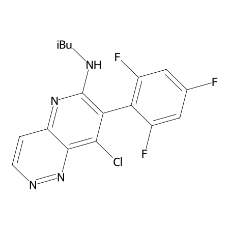 CCC(C)Nc1nc2ccnnc2c(Cl)c1-c1c(F)cc(F)cc1F